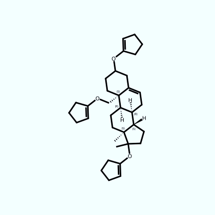 CC1(OC2=CCCC2)CC[C@H]2[C@@H]3CC=C4CC(OC5=CCCC5)CC[C@]4(COC4=CCCC4)[C@@H]3CC[C@@]21C